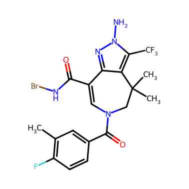 Cc1cc(C(=O)N2C=C(C(=O)NBr)c3nn(N)c(C(F)(F)F)c3C(C)(C)C2)ccc1F